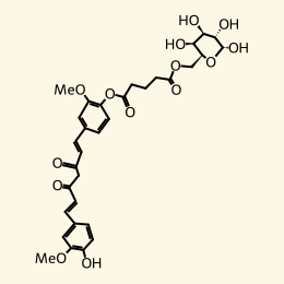 COc1cc(/C=C/C(=O)CC(=O)/C=C/c2ccc(OC(=O)CCCC(=O)OC[C@@H]3O[C@@H](O)[C@@H](O)[C@H](O)[C@@H]3O)c(OC)c2)ccc1O